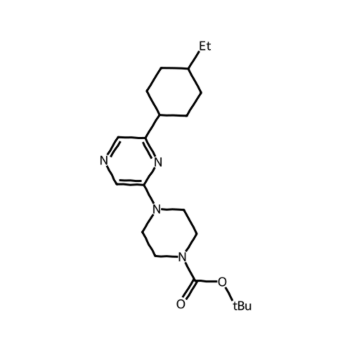 CCC1CCC(c2cncc(N3CCN(C(=O)OC(C)(C)C)CC3)n2)CC1